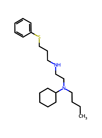 CCCCN(CCNCCCSc1ccccc1)C1CCCCC1